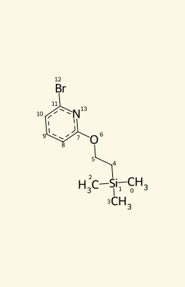 C[Si](C)(C)CCOc1cccc(Br)n1